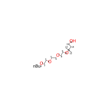 CCCCOCCOCCOCCOC(C)(C)CCO